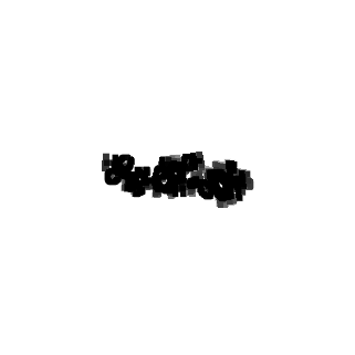 O=C(O)c1csc([C@H]2CC[C@@H]3[C@@H](CCOc4ccc(C(F)(F)F)cc4)[C@H](O)C[C@@H]3O2)n1